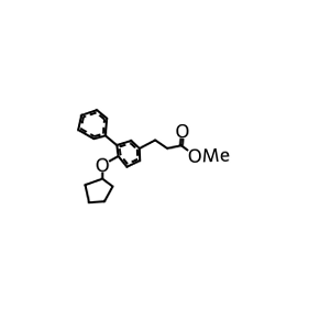 COC(=O)CCc1ccc(OC2CCCC2)c(-c2ccccc2)c1